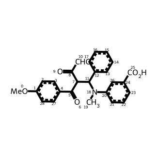 COc1ccc(C(=O)C(C(=O)C=O)C(c2ccccc2)N(C)c2cccc(C(=O)O)c2)cc1